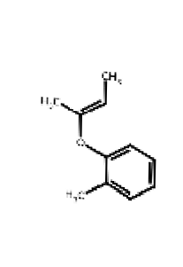 CC=C(C)Oc1ccccc1C